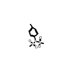 Cc1ccc(N(S(C)(=O)=O)S(C)(=O)=O)cc1